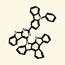 c1ccc(-n2c3ccccc3c3cc(-c4nc(-n5c6ccccc6c6c7ccccc7c7c8ccccc8sc7c65)c5c(n4)sc4ccccc45)ccc32)cc1